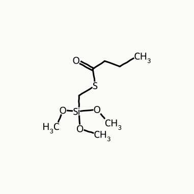 CCCC(=O)SC[Si](OC)(OC)OC